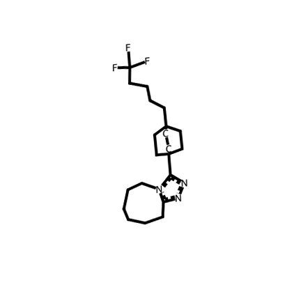 FC(F)(F)CCCCC12CCC(c3nnc4n3CCCCCC4)(CC1)CC2